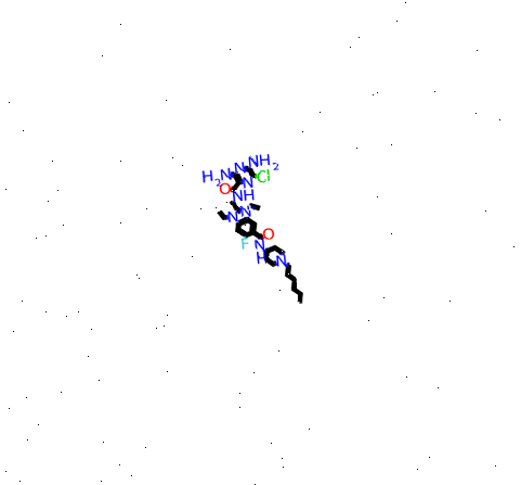 CCCCCCN1CCC(NC(=O)c2cc3c(cc2F)n(CC)c(CNC(=O)c2nc(Cl)c(N)nc2N)[n+]3CC)CC1